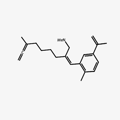 C=C=C(C)CCCC/C(=C/c1cc(C(=C)C)ccc1C)CNC